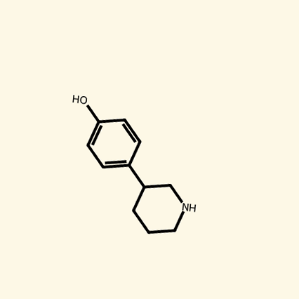 Oc1ccc(C2CCCNC2)cc1